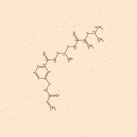 C=CC(=O)OCc1cccc(C(=O)OCC(O)COC(=O)C(=C)CC(C)C)c1